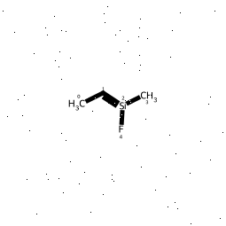 CC=[Si](C)F